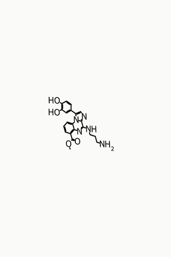 COC(=O)c1cccc2c1nc(NCCCN)c1ncc(-c3ccc(O)c(O)c3)n12